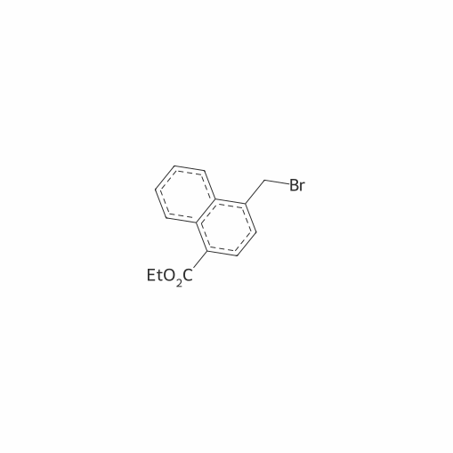 CCOC(=O)c1ccc(CBr)c2ccccc12